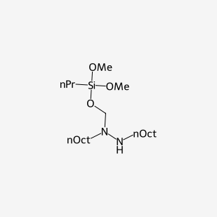 CCCCCCCCNN(CCCCCCCC)CO[Si](CCC)(OC)OC